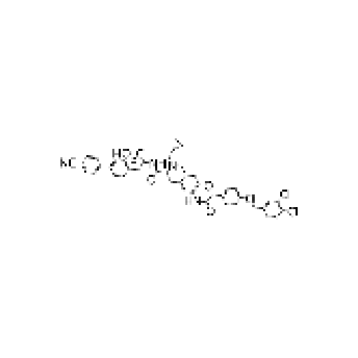 N#Cc1ccc(-c2ccc(CC(NC(=O)[C@@H]3Cc4cc5c(cc4CN3CC3CC3)O[C@@H](c3ccc(OCc4ccc(Cl)c(Cl)c4)cc3)C(=O)N5)C(=O)O)cc2)cc1